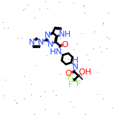 C[C@](O)(C(=O)N[C@H]1CC[C@H](NC(=O)c2nc(-n3ccnc3)nc3cc[nH]c23)CC1)C(F)(F)F